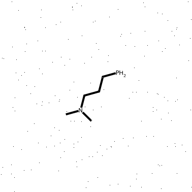 CN(C)CCCP